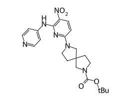 CC(C)(C)OC(=O)N1CCC2(CCN(c3ccc([N+](=O)[O-])c(Nc4ccncc4)n3)C2)C1